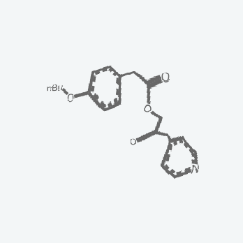 CCCCOc1ccc(CC(=O)OCC(=O)c2ccncc2)cc1